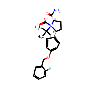 CC(C)(C)[N+]1(C(=O)[O-])[C@@H](c2ccc(OCc3ccccc3F)cc2)CC[C@H]1C(N)=O